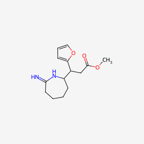 COC(=O)CC(c1ccco1)C1CCCCC(=N)N1